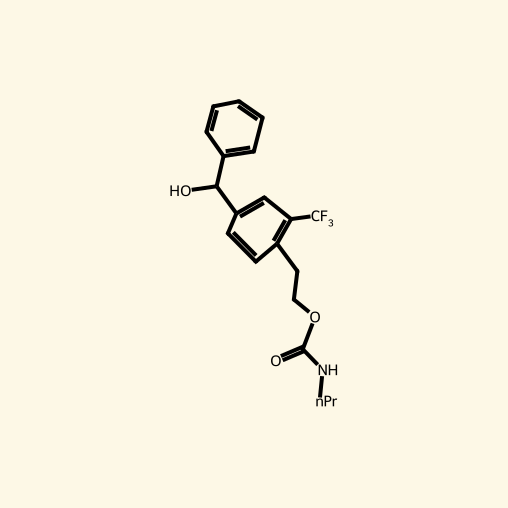 CCCNC(=O)OCCc1ccc(C(O)c2ccccc2)cc1C(F)(F)F